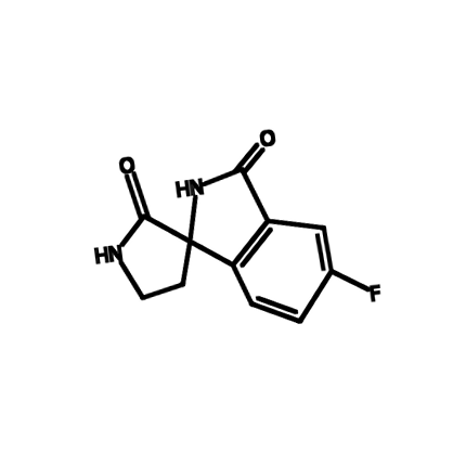 O=C1NC2(CCNC2=O)c2ccc(F)cc21